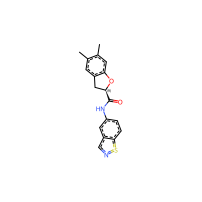 Cc1cc2c(cc1C)O[C@@H](C(=O)Nc1ccc3sncc3c1)C2